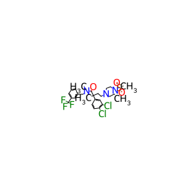 C[C@@H]1CN(CCC(C)(C(=O)N(C)Cc2cccc(C(F)(F)F)c2)c2ccc(Cl)c(Cl)c2)CCN1S(C)(=O)=O